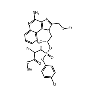 CCOCc1nc2c(N)nc3ccccc3c2n1C[C@@H](C)OP(=O)(NC(C(=O)OC(C)(C)C)C(C)C)Oc1ccc(Cl)cc1